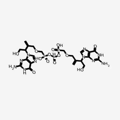 C=C(COCP(=O)(O)O[PH](=O)OP(=O)(O)COCC(=C)C(CO)n1cnc2c(=O)[nH]c(N)nc21)C(CO)n1cnc2c(=O)[nH]c(N)nc21